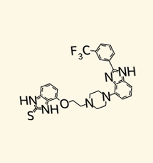 FC(F)(F)c1cccc(-c2nc3c(N4CCN(CCOc5cccc6[nH]c(=S)[nH]c56)CC4)cccc3[nH]2)c1